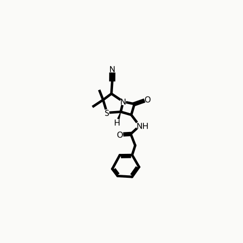 CC1(C)S[C@H]2C(NC(=O)Cc3ccccc3)C(=O)N2C1C#N